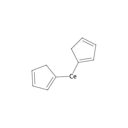 C1=CC[C]([Ce][C]2=CC=CC2)=C1